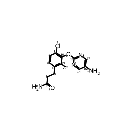 NC(=O)C[CH]c1ccc(Cl)c(Oc2ncc(N)cn2)c1F